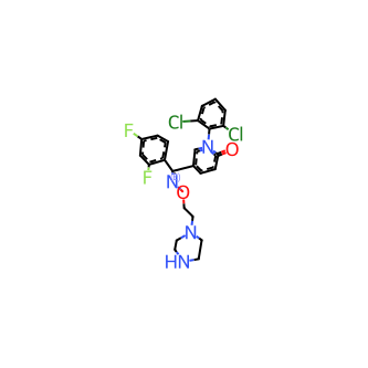 O=c1ccc(/C(=N\OCCN2CCNCC2)c2ccc(F)cc2F)cn1-c1c(Cl)cccc1Cl